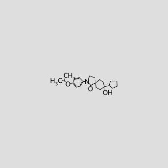 CC(C)Oc1ccc(N2CC[C@]3(CC[C@](O)(C4CCCC4)CC3)C2=O)cc1